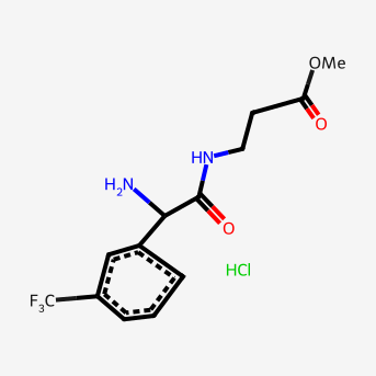 COC(=O)CCNC(=O)C(N)c1cccc(C(F)(F)F)c1.Cl